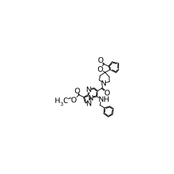 CCOC(=O)c1cnn2c(NCc3ccccc3)c(C(=O)N3CCC4(CC3)OC(=O)c3ccccc34)cnc12